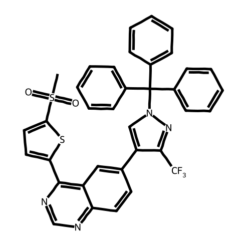 CS(=O)(=O)c1ccc(-c2ncnc3ccc(-c4cn(C(c5ccccc5)(c5ccccc5)c5ccccc5)nc4C(F)(F)F)cc23)s1